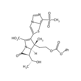 CC(C)OC(=O)OCC[C@@]1(C)C(c2cn3cnc(S(C)(=O)=O)c3s2)=C(C(=O)O)N2C(=O)[C@H]([C@@H](C)O)[C@@H]21